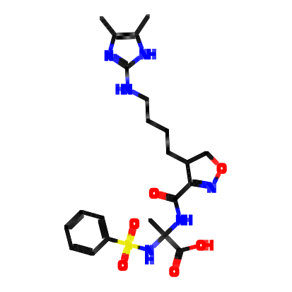 Cc1nc(NCCCCC2CON=C2C(=O)NC(C)(NS(=O)(=O)c2ccccc2)C(=O)O)[nH]c1C